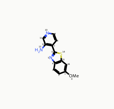 COc1ccc2nc(-c3ccncc3N)sc2c1